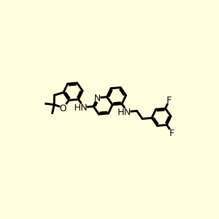 CC1(C)Cc2cccc(Nc3ccc4c(NCCc5cc(F)cc(F)c5)cccc4n3)c2O1